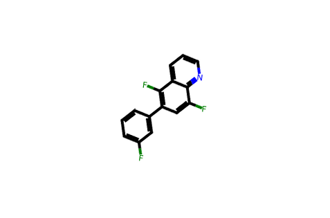 Fc1cc[c]c(-c2cc(F)c3ncccc3c2F)c1